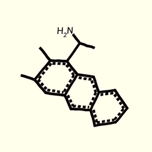 Cc1cc2cc3ccccc3cc2c(C(C)N)c1C